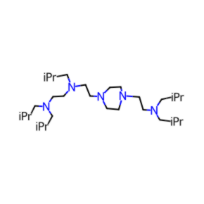 CC(C)CN(CCN1CCN(CCN(CC(C)C)CC(C)C)CC1)CCN(CC(C)C)CC(C)C